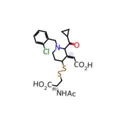 CC(=O)N[C@@H](CSSC1CCN(Cc2ccccc2Cl)C(C(=O)C2CC2)/C1=C/C(=O)O)C(=O)O